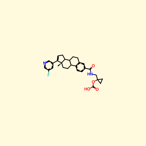 C[C@]12CCC3c4ccc(C(=O)NCC5(OC(=O)O)CC5)cc4CCC3C1CC=C2c1cncc(F)c1